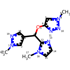 Cn1cc(C(Oc2cn(C)nn2)c2nccn2C)cn1